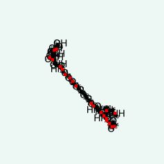 CCNC(=O)C(C)NC(=O)C(NC(=O)C(CCCCNC(=O)CCOCCOCCOCCOCCOCCOCCOCCOCCNC(=O)CNC(=O)CCC(NC(=O)NC(CCC(=O)O)C(=O)O)C(=O)O)NC(=O)CCCN1C(=O)C=CC1=O)C(C)C